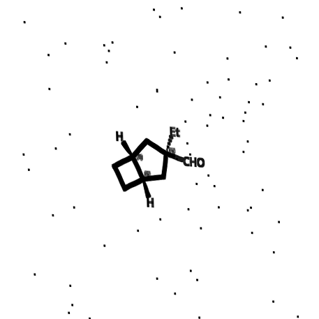 CC[C@@]1(C=O)C[C@H]2CC[C@H]2C1